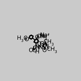 COc1cccc(-c2cc([C@H](CC(=O)[O-])NC(=O)Nc3c([O-])c(C)cn(C)c3=O)ccc2OC)c1.[Na+].[Na+]